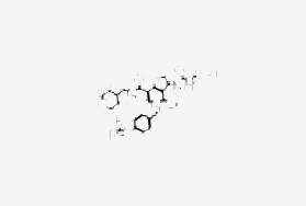 CC(C)(C)OC(=O)N[C@H]1CSc2c(C(=O)NCC3CCOCC3)cn(Cc3ccc(OC(F)F)cc3)c(=O)c21